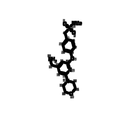 CNS(=O)(=O)Cc1ccc(Oc2cc(CN)cc(N3CCOCC3)n2)cc1